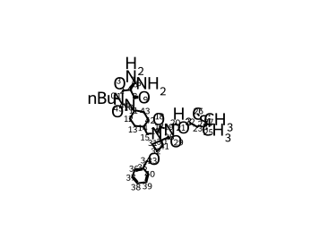 CCCCN1C(=O)C(=C(N)N)C(=O)N(C2CCC(CN3C(=O)N(COCC[Si](C)(C)C)C(=O)C34CC(OCc3ccccc3)C4)CC2)C1=O